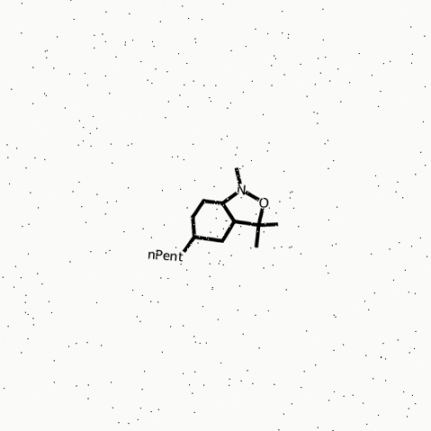 CCCCCC1CCC2C(C1)C(C)(C)ON2C